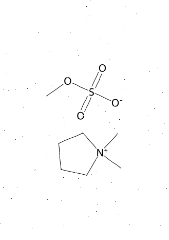 COS(=O)(=O)[O-].C[N+]1(C)CCCC1